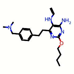 C=CNc1c(N)nc(OCCCC)nc1CCc1ccc(CN(C)C)cc1